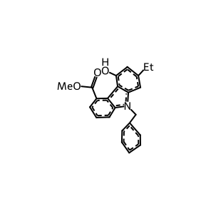 CCc1cc(O)c2c3c(C(=O)OC)cccc3n(Cc3ccccc3)c2c1